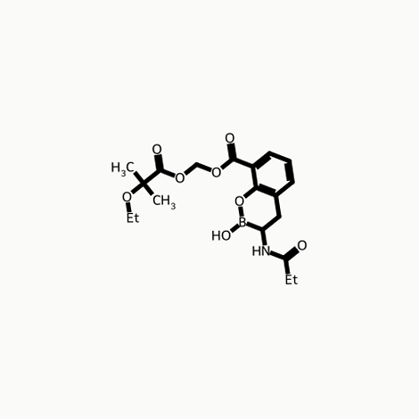 CCOC(C)(C)C(=O)OCOC(=O)c1cccc2c1OB(O)C(NC(=O)CC)C2